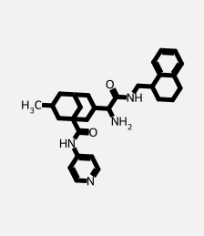 CC1CC2CC(C(N)C(=O)NCC3CCCc4ccccc43)CC(C(=O)Nc3ccncc3)(C1)C2